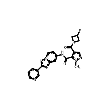 Cn1ncc(C(=O)N2CC(F)C2)c1C(=O)Nc1ccn2nc(-c3cccnc3)nc2c1